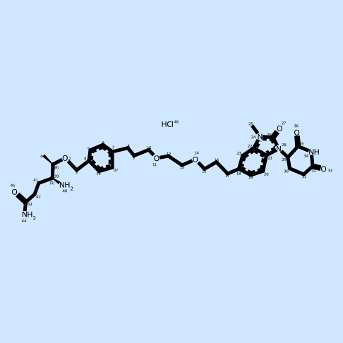 C[C@@H](OCc1ccc(CCCOCCOCCCc2ccc3c(c2)n(C)c(=O)n3C2CCC(=O)NC2=O)cc1)[C@@H](N)CCC(N)=O.Cl